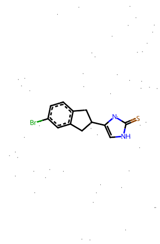 S=C1[N]C(C2Cc3ccc(Br)cc3C2)=CN1